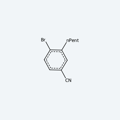 CCCCCc1cc(C#N)ccc1Br